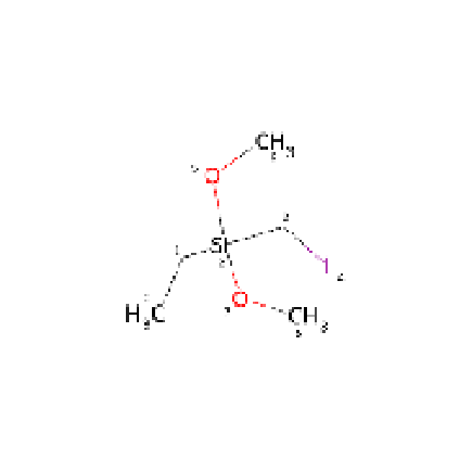 CC[Si](CI)(OC)OC